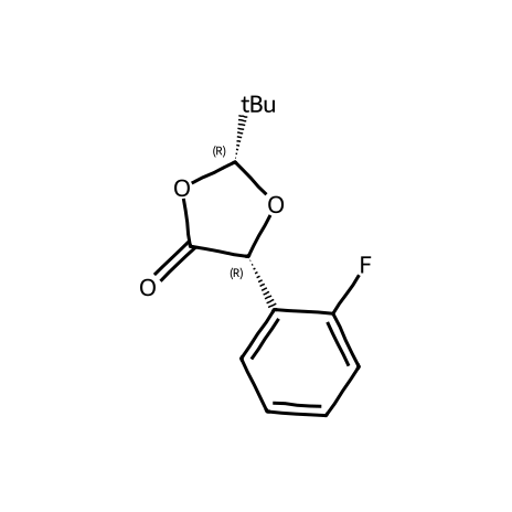 CC(C)(C)[C@H]1OC(=O)[C@@H](c2ccccc2F)O1